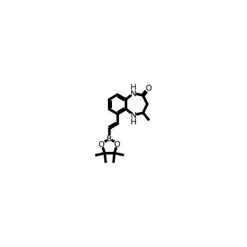 CC1CC(=O)Nc2cccc(C=CB3OC(C)(C)C(C)(C)O3)c2N1